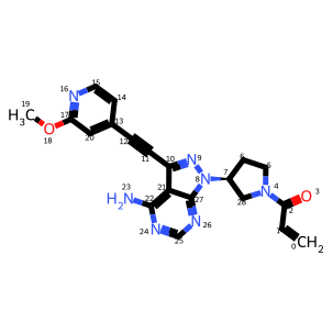 C=CC(=O)N1CC[C@H](n2nc(C#Cc3ccnc(OC)c3)c3c(N)ncnc32)C1